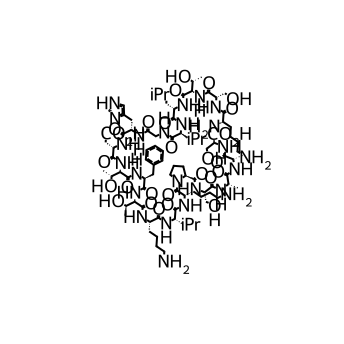 CC(C)C[C@H](NC(=O)[C@@H](NC(=O)[C@H](CO)NC(=O)[C@@H](N)CCCCN)[C@@H](C)O)C(=O)N[C@H](C(=O)NCC(=O)N[C@@H](Cc1c[nH]cn1)C(=O)N[C@@H](CC(=O)O)C(=O)N[C@H](C(=O)N[C@@H](Cc1ccccc1)C(=O)N[C@H](C(=O)N[C@@H](CCCCN)C(=O)N[C@H](C(=O)N[C@@H](CCCCN)C(=O)N1CCC[C@H]1C(=O)N[C@@H](CO)C(=O)N[C@@H](C)C(=O)N[C@@H](C)C(=O)N[C@@H](CO)C(=O)O)C(C)C)[C@@H](C)O)[C@@H](C)O)C(C)C